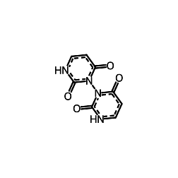 O=c1cc[nH]c(=O)n1-n1c(=O)cc[nH]c1=O